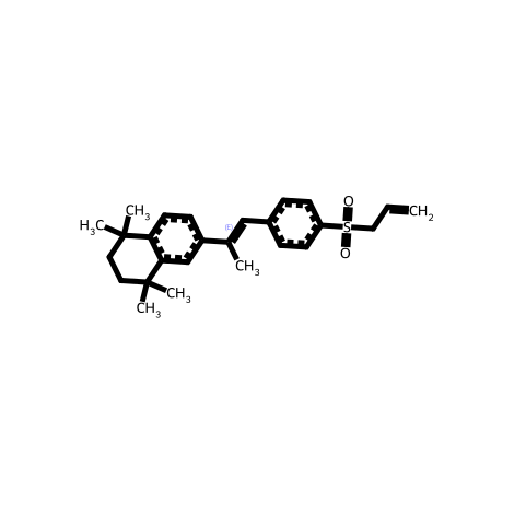 C=CCS(=O)(=O)c1ccc(/C=C(\C)c2ccc3c(c2)C(C)(C)CCC3(C)C)cc1